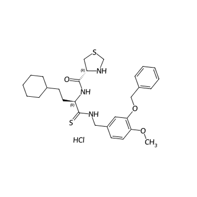 COc1ccc(CNC(=S)[C@@H](CCC2CCCCC2)NC(=O)[C@@H]2CSCN2)cc1OCc1ccccc1.Cl